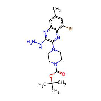 Cc1cc(Br)c2nc(N3CCN(C(=O)OC(C)(C)C)CC3)c(NN)nc2c1